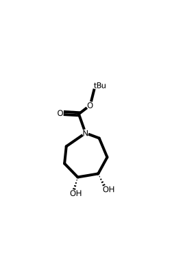 CC(C)(C)OC(=O)N1CC[C@@H](O)[C@@H](O)CC1